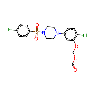 O=COCOc1cc(N2CCN(S(=O)(=O)c3ccc(F)cc3)CC2)ccc1Cl